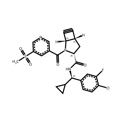 CS(=O)(=O)c1cncc(C(=O)N2[C@@H](C(=O)N[C@@H](c3ccc(Cl)c(F)c3)C3CC3)C[C@H]3C#C[C@H]32)c1